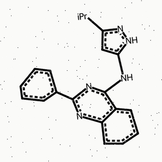 CC(C)c1cc(Nc2nc(-c3ccccc3)nc3ccccc23)[nH]n1